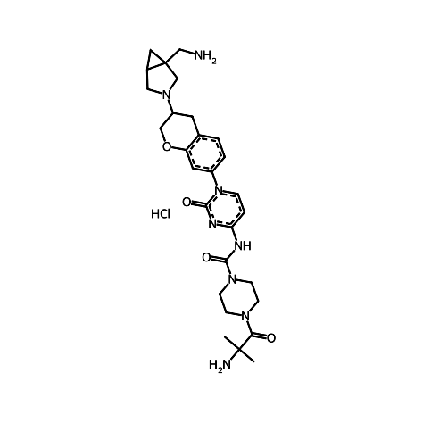 CC(C)(N)C(=O)N1CCN(C(=O)Nc2ccn(-c3ccc4c(c3)OCC(N3CC5CC5(CN)C3)C4)c(=O)n2)CC1.Cl